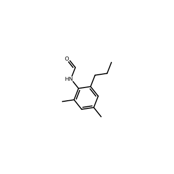 CCCc1cc(C)cc(C)c1NC=O